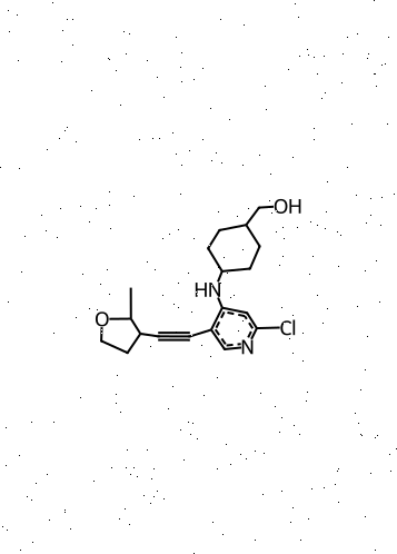 CC1OCCC1C#Cc1cnc(Cl)cc1NC1CCC(CO)CC1